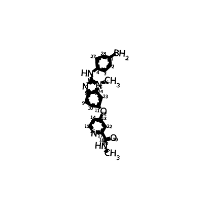 Bc1ccc(Nc2nc3ccc(Oc4ccnc(C(=O)NC)c4)cc3n2C)cc1